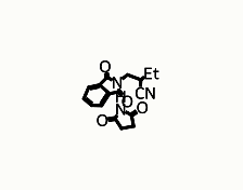 CCC(C#N)CN1C(=O)c2ccccc2C1=O.O=C1CCC(=O)N1